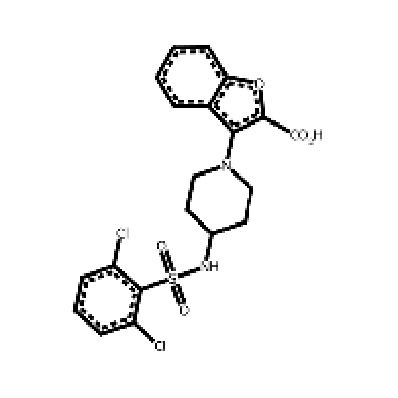 O=C(O)c1oc2ccccc2c1N1CCC(NS(=O)(=O)c2c(Cl)cccc2Cl)CC1